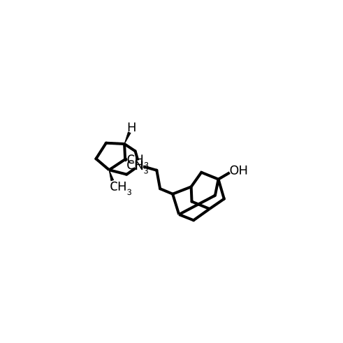 CC1(C)[C@@H]2CC[C@@]1(C)CN(CCC1C3CC4CC1CC(O)(C4)C3)C2